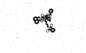 CC(C)CC(C(=O)O)(C(=O)OCc1ccccc1)C(CCCCCN1C(=O)c2ccccc2C1=O)P(=O)(O)C(=O)n1cc2cccc3c2c(c1=O)C=CC3